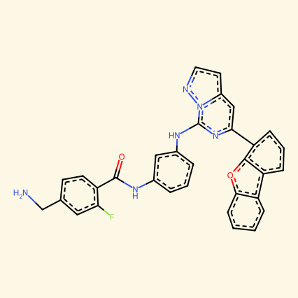 NCc1ccc(C(=O)Nc2cccc(Nc3nc(-c4cccc5c4oc4ccccc45)cc4ccnn34)c2)c(F)c1